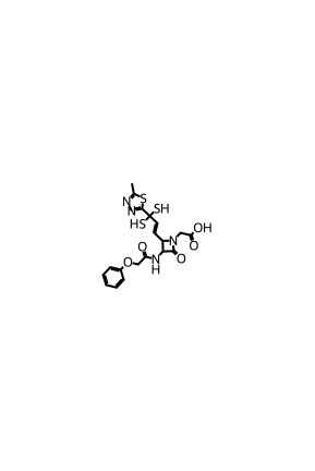 Cc1nnc(C(S)(S)C=CC2C(NC(=O)COc3ccccc3)C(=O)N2CC(=O)O)s1